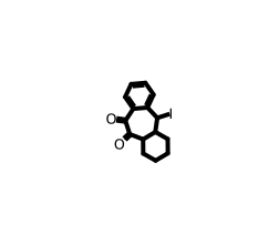 O=C1C(=O)C2CCCCC2C(I)c2ccccc21